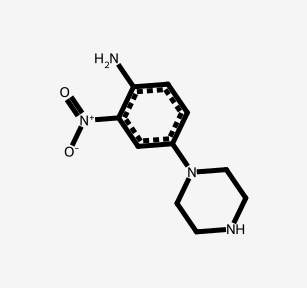 Nc1ccc(N2CCNCC2)cc1[N+](=O)[O-]